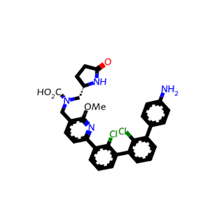 COc1nc(-c2cccc(-c3cccc(-c4ccc(N)cc4)c3Cl)c2Cl)ccc1CN(C[C@@H]1CCC(=O)N1)C(=O)O